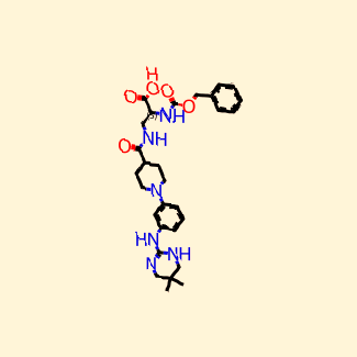 CC1(C)CN=C(Nc2cccc(N3CCC(C(=O)NC[C@H](NC(=O)OCc4ccccc4)C(=O)O)CC3)c2)NC1